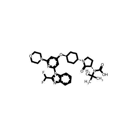 CC(C)(C)N(C(=O)O)[C@H]1CCN([C@H]2CC[C@H](Oc3cc(N4CCOCC4)nc(-n4c(C(F)F)nc5ccccc54)c3)CC2)C1=O